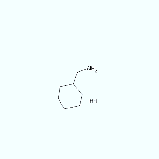 [AlH2][CH2]C1CCCCC1.[HH]